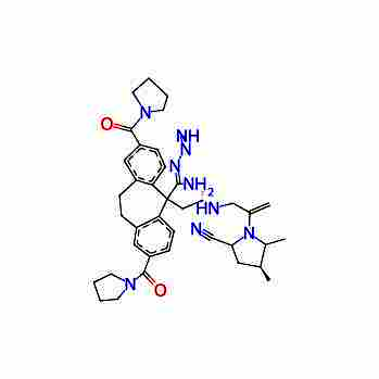 C=C(CN[C@@H](C)CC1(/C(N)=N/N=N)c2ccc(C(=O)N3CCCC3)cc2CCc2cc(C(=O)N3CCCC3)ccc21)N1C(C#N)C[C@H](C)C1C